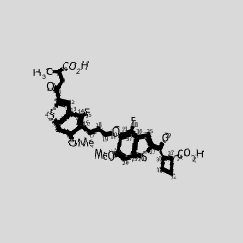 COc1cc2sc(C(=O)CC(C)C(=O)O)cc2c(F)c1CCCOc1c(OC)cc2sc(C(=O)[C@@H]3CC[C@H]3C(=O)O)cc2c1F